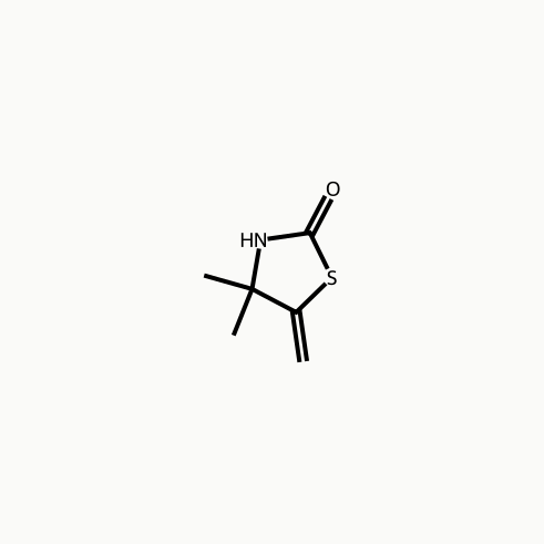 C=C1SC(=O)NC1(C)C